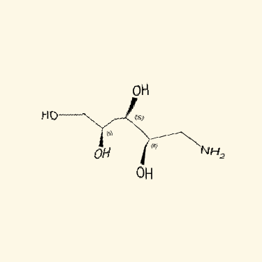 NC[C@@H](O)[C@H](O)[C@@H](O)CO